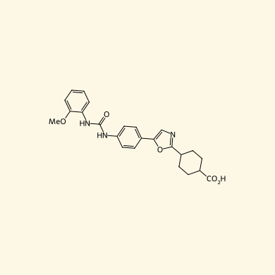 COc1ccccc1NC(=O)Nc1ccc(-c2cnc(C3CCC(C(=O)O)CC3)o2)cc1